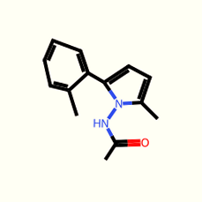 CC(=O)Nn1c(C)ccc1-c1ccccc1C